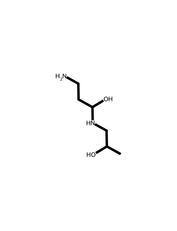 CC(O)CNC(O)CCN